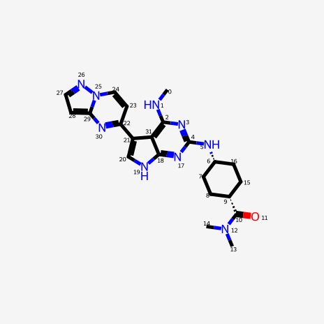 CNc1nc(N[C@H]2CC[C@@H](C(=O)N(C)C)CC2)nc2[nH]cc(-c3ccn4nccc4n3)c12